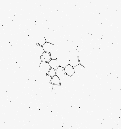 CC(=O)N1CCO[C@@H](Cc2c(-c3c(I)cc(C(=O)N(C)C)cc3I)nc3cc(C)ccn23)C1